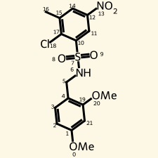 COc1ccc(CNS(=O)(=O)c2cc([N+](=O)[O-])cc(C)c2Cl)c(OC)c1